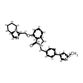 Cn1cc(-c2ccc(CN3Cc4cccc(OCc5ncc6n5CCCC6)c4C3=O)cc2)cn1